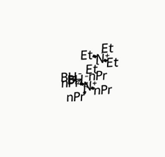 CCC[N+](CCC)(CCC)CCC.CC[N+](CC)(CC)CC.[BH4-].[BH4-]